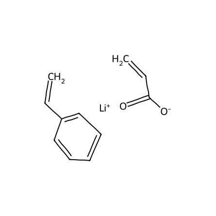 C=CC(=O)[O-].C=Cc1ccccc1.[Li+]